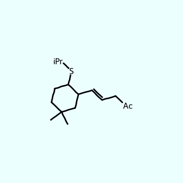 CC(=O)CC=CC1CC(C)(C)CCC1SC(C)C